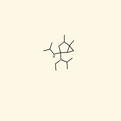 CCN(C(C)C)C1(NC(C)C)CC(C)C2(C)CC21